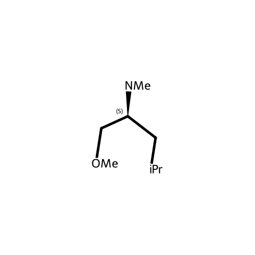 CN[C@H](COC)CC(C)C